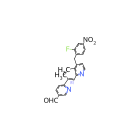 C/C(=C\c1nccc(Cc2ccc([N+](=O)[O-])cc2F)c1C)c1ccc(C=O)cn1